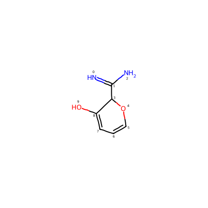 N=C(N)C1OC=CC=C1O